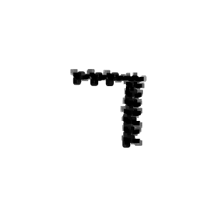 CCCCCC.CCOC(C)=O.CCOC(C)=O.CCOC(C)=O.CCOC(C)=O.CCOC(C)=O.CCOC(C)=O.CCOC(C)=O.CCOC(C)=O.CCOC(C)=O.CCOC(C)=O